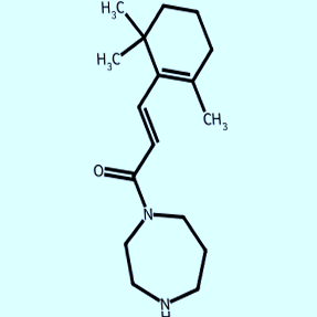 CC1=C(C=CC(=O)N2CCCNCC2)C(C)(C)CCC1